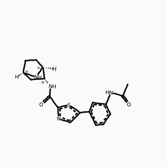 CC(=O)Nc1cccc(-c2cnc(C(=O)N[C@@H]3C[C@H]4CC[C@@H]3N4)s2)c1